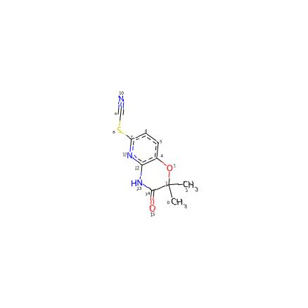 CC1(C)Oc2ccc(SC#N)nc2NC1=O